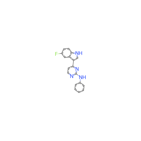 Fc1ccc2[nH]cc(-c3ccnc(Nc4ccccc4)n3)c2c1